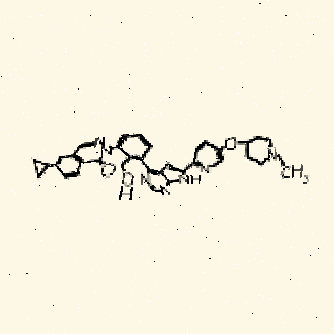 CCN1CCC(Oc2ccc(-c3cc4c(-c5cccc(-n6ncc7cc(C8CC8)ccc7c6=O)c5CO)ncnc4[nH]3)nc2)CC1